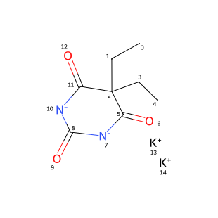 CCC1(CC)C(=O)[N-]C(=O)[N-]C1=O.[K+].[K+]